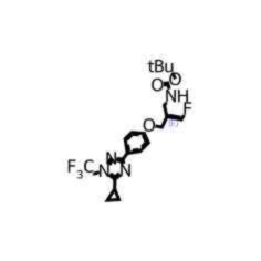 CC(C)(C)OC(=O)NC/C(=C\F)COc1ccc(-c2nc(C3CC3)n(CC(F)(F)F)n2)cc1